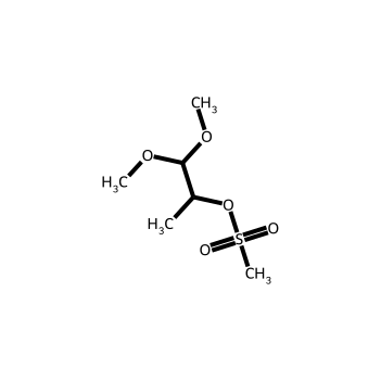 COC(OC)C(C)OS(C)(=O)=O